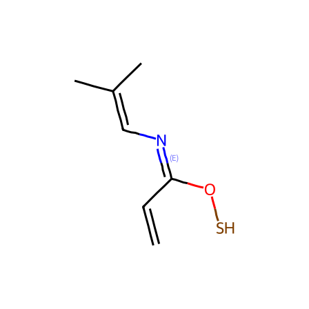 C=C/C(=N\C=C(C)C)OS